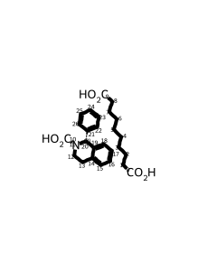 O=C(O)CCCCCCCCC(=O)O.O=C(O)N1CCc2ccccc2[C@H]1c1ccccc1